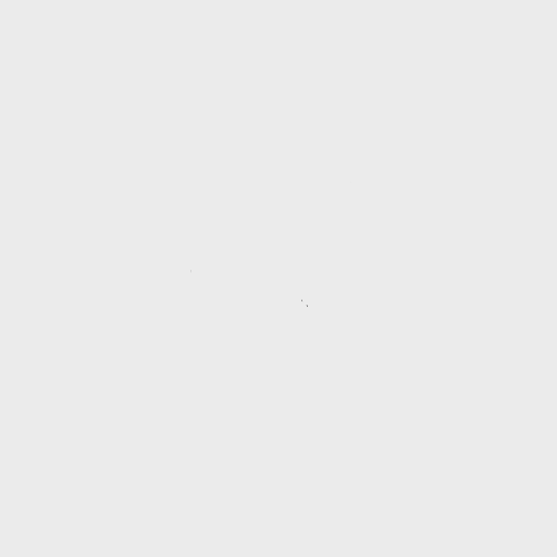 c1ccc(N(c2ccc3c(c2)oc2c4ccccc4ccc32)c2ccc3sc4cccc(-c5ccc6ccccc6c5)c4c3c2)cc1